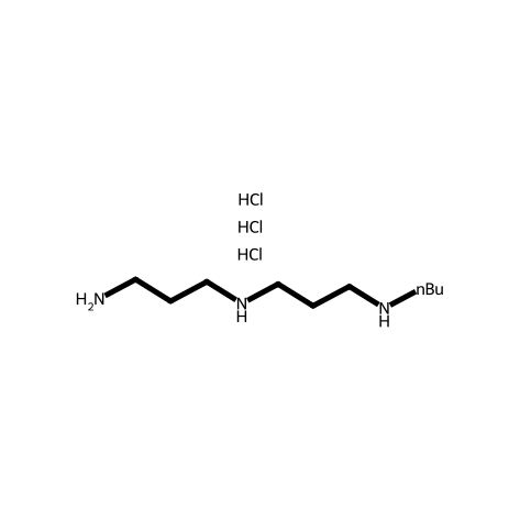 CCCCNCCCNCCCN.Cl.Cl.Cl